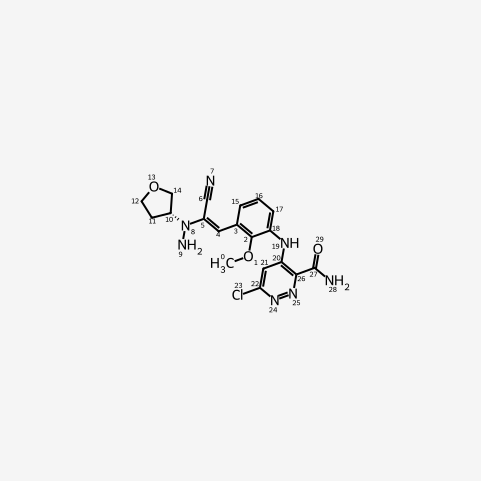 COc1c(/C=C(\C#N)N(N)[C@@H]2CCOC2)cccc1Nc1cc(Cl)nnc1C(N)=O